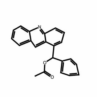 CC(=O)OC(c1ccccc1)c1cccc2nc3ccccc3cc12